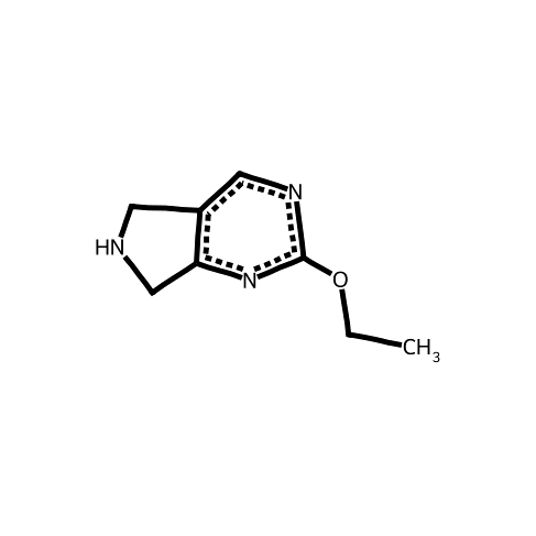 CCOc1ncc2c(n1)CNC2